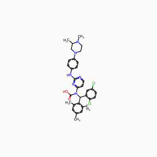 Cc1cc(C)c(C(c2cc(Cl)ccc2Cl)N(C(=O)O)c2ccnc(Nc3ccc(N4CCN(C)C(C)C4)cc3)n2)c(C)c1